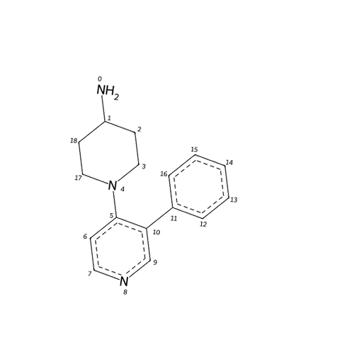 NC1CCN(c2ccncc2-c2ccccc2)CC1